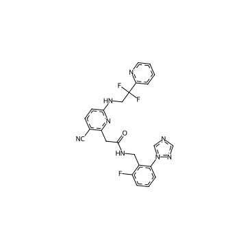 N#Cc1ccc(NCC(F)(F)c2ccccn2)nc1CC(=O)NCc1c(F)cccc1-n1cncn1